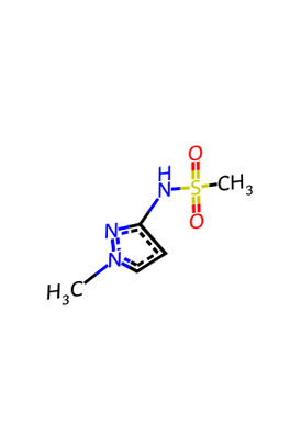 Cn1ccc(NS(C)(=O)=O)n1